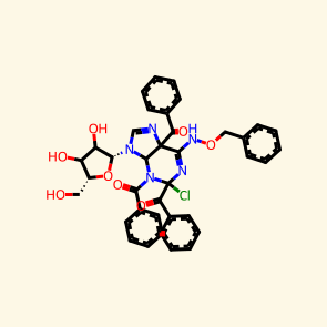 O=C(c1ccccc1)N1C2N([C@@H]3O[C@H](CO)C(O)C3O)C=NC2(C(=O)c2ccccc2)C(NOCc2ccccc2)=NC1(Cl)C(=O)c1ccccc1